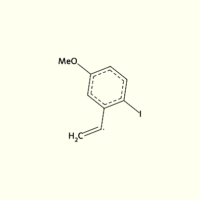 C=[C]c1cc(OC)ccc1I